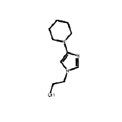 OCCn1cnc(N2CCCCC2)c1